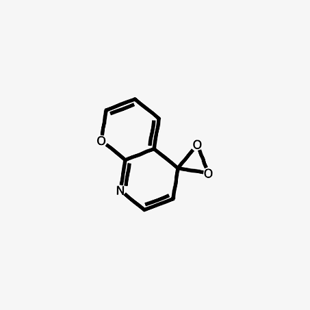 C1=COC2=NC=CC3(OO3)C2=C1